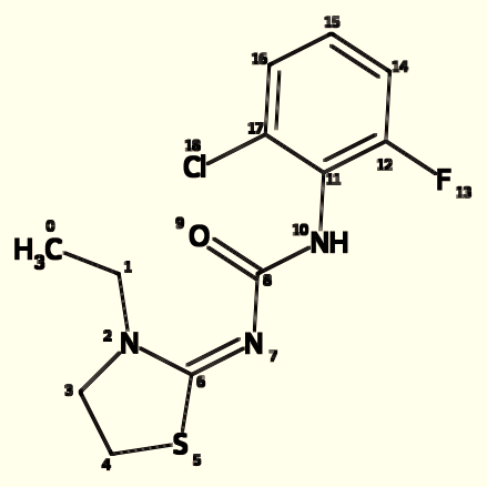 CCN1CCSC1=NC(=O)Nc1c(F)cccc1Cl